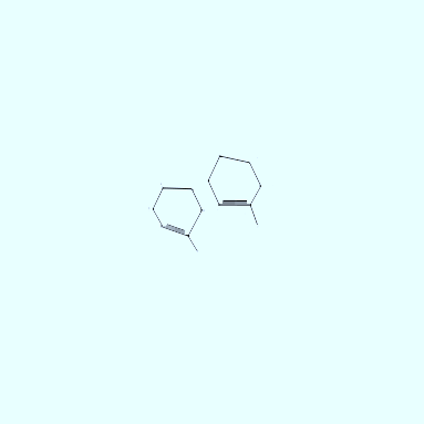 OC1=CCCCC1.OC1=CCCCC1